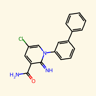 N=c1c(C(N)=O)cc(Cl)cn1-c1cccc(-c2ccccc2)c1